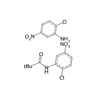 CC(C)(C)C(=O)Nc1cc([N+](=O)[O-])ccc1Cl.Nc1cc([N+](=O)[O-])ccc1Cl